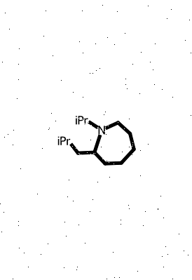 CC(C)CC1CCCCCN1C(C)C